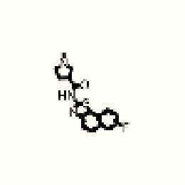 CN1CCC(C(=O)Nc2nc3ccc4cc(F)ccc4c3s2)C1